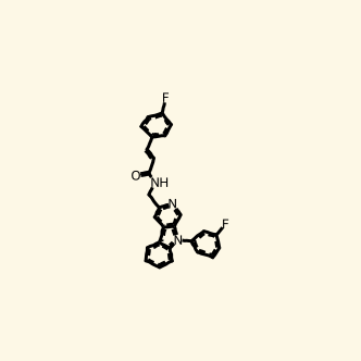 O=C(/C=C/c1ccc(F)cc1)NCc1cc2c3ccccc3n(-c3cccc(F)c3)c2cn1